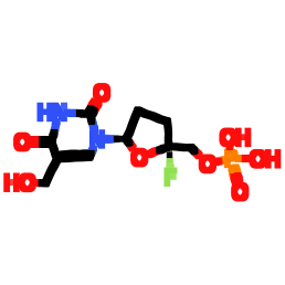 O=c1[nH]c(=O)n([C@H]2CC[C@@](F)(COP(=O)(O)O)O2)cc1CO